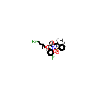 CC1C(=O)[N+](c2cc(F)ccc2OCCCCBr)(C(C)C)S(=O)(=O)c2ccccc21